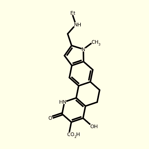 CCNCc1cc2cc3c(cc2n1C)CCc1c-3[nH]c(=O)c(C(=O)O)c1O